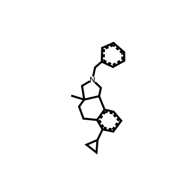 CC12CCc3c(C4CC4)cccc3C1CN(Cc1ccccc1)C2